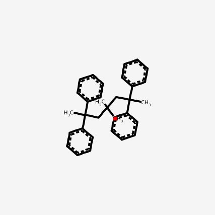 CC(C)(CC(C)(c1ccccc1)c1ccccc1)CC(C)(c1ccccc1)c1ccccc1